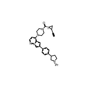 C#CC1C[C@@H]1C(=O)N1CCN(c2ccnn3cc(-c4ccc(C5CCN(C(C)C)C5)cc4)cc23)CC1